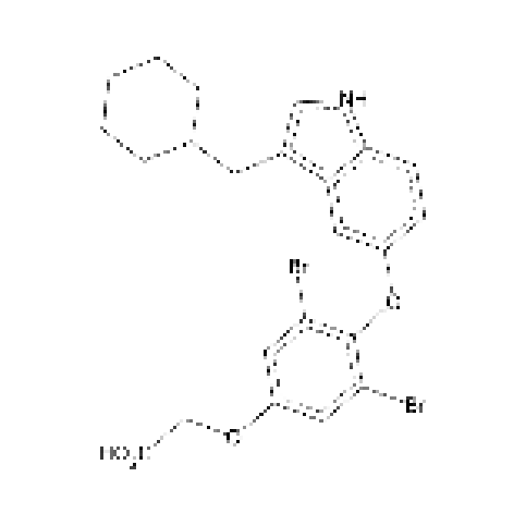 O=C(O)COc1cc(Br)c(Oc2ccc3[nH]cc(CC4CCCCC4)c3c2)c(Br)c1